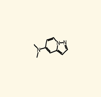 CN(C)c1ccn2nccc2c1